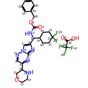 O=C(N[C@H](c1cn2ncc(C3COCCN3)nc2n1)C1CCC(F)(F)CC1)OCc1ccccc1.O=C(O)C(F)(F)F